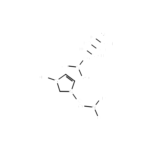 CCCCN(CCCC)CCCC.CCCCN1C=CN(C)C1.CCCN(CCC)CCC.N.O=S(=O)(O)O.O=S(=O)(O)O.O=S(=O)(O)O